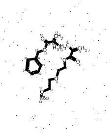 C=C(C)C(=O)OCCOCCOCCCC.C=C(C)C(=O)OCc1ccccc1